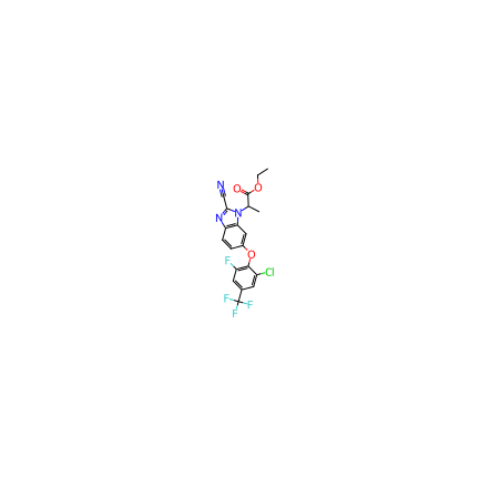 CCOC(=O)C(C)n1c(C#N)nc2ccc(Oc3c(F)cc(C(F)(F)F)cc3Cl)cc21